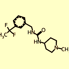 CN1CCC(NC(=O)NCc2cccc(C(C)(F)F)c2)CC1